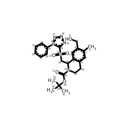 Cc1cc2c(cc1CO)C(CS(=O)(=O)c1nnnn1-c1ccccc1)N(C(=O)OC(C)(C)C)CC2